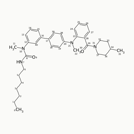 CCCCCCCNC(=O)N(C)c1cccc(-c2ccc(N(C)c3ccccc3C(=O)N3CCC(C)CC3)cc2)c1